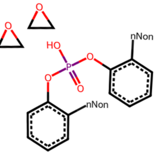 C1CO1.C1CO1.CCCCCCCCCc1ccccc1OP(=O)(O)Oc1ccccc1CCCCCCCCC